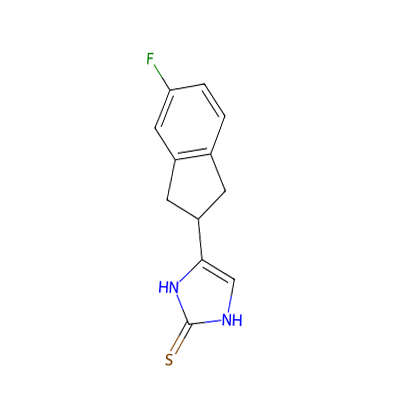 Fc1ccc2c(c1)CC(c1c[nH]c(=S)[nH]1)C2